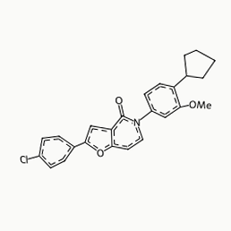 COc1cc(-n2ccc3oc(-c4ccc(Cl)cc4)cc3c2=O)ccc1C1CCCC1